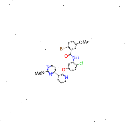 CNc1nccc(-c2cccnc2Oc2ccc(Cl)c(NC(=O)c3cc(OC)ccc3Br)c2)n1